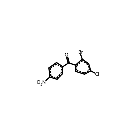 O=C(c1ccc([N+](=O)[O-])cc1)c1ccc(Cl)cc1Br